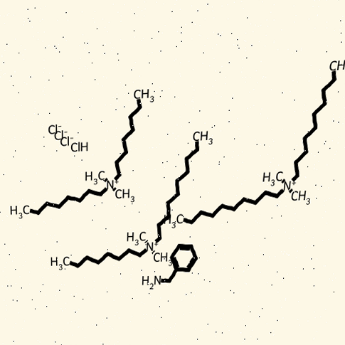 CCCCCCCCCC[N+](C)(C)CCCCCCCC.CCCCCCCCCC[N+](C)(C)CCCCCCCCCC.CCCCCCCC[N+](C)(C)CCCCCCCC.Cl.NCc1ccccc1.[Cl-].[Cl-].[Cl-]